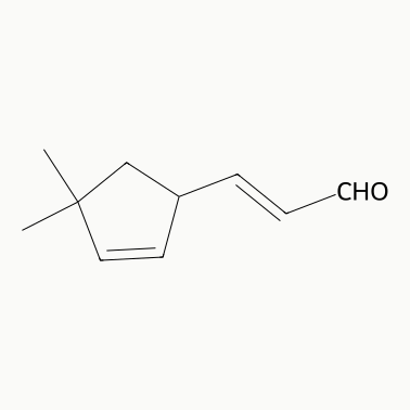 CC1(C)C=CC(C=CC=O)C1